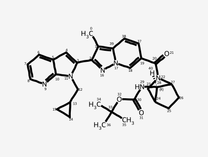 Cc1c(-c2cc3cccnc3n2CC2CC2)nn2cc(C(=O)N3CC4CCC3[C@@H]4NC(=O)OC(C)(C)C)ccc12